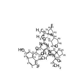 C#Cc1c(F)ccc2cc(O)cc(C3COc4c(NCC5(N(C)C(=O)C=C)CCCC5)nc(OC[C@]5(C(C)C)C[C@@H](F)CN5C5CCOCC5)nc4O3)c12